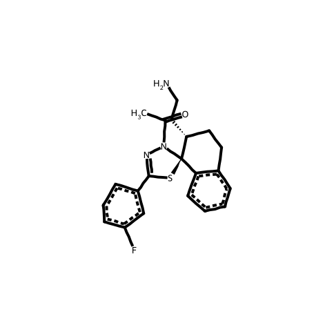 CC(=O)N1N=C(c2cccc(F)c2)S[C@@]12c1ccccc1CC[C@H]2CCN